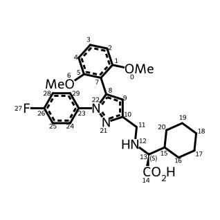 COc1cccc(OC)c1-c1cc(CN[C@H](C(=O)O)C2CCCCC2)nn1-c1ccc(F)cc1